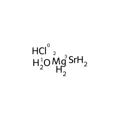 Cl.O.[MgH2].[SrH2]